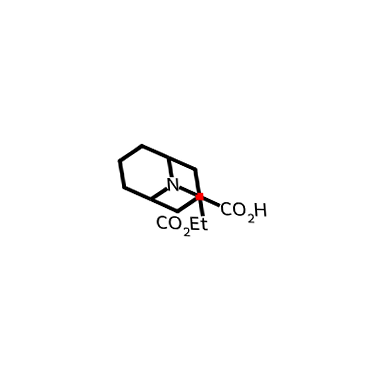 CCOC(=O)CN1C2CCCC1CC(C(=O)O)C2